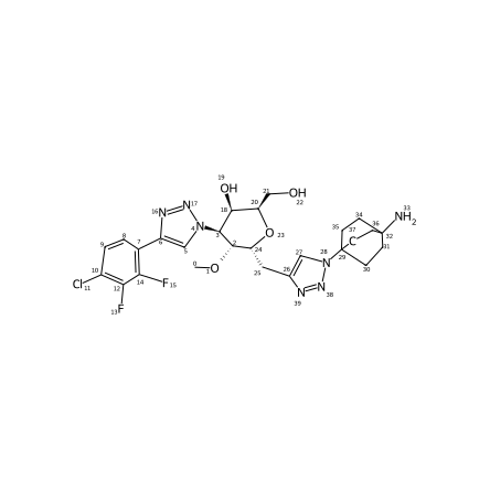 CO[C@@H]1[C@@H](n2cc(-c3ccc(Cl)c(F)c3F)nn2)[C@@H](O)[C@@H](CO)O[C@@H]1Cc1cn(C23CCC(N)(CC2)CC3)nn1